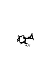 Brc1cncnc1C1CC1